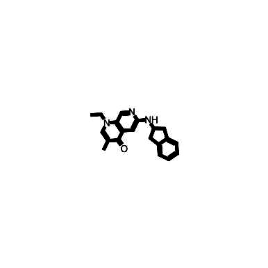 CCn1cc(C)c(=O)c2cc(NC3Cc4ccccc4C3)ncc21